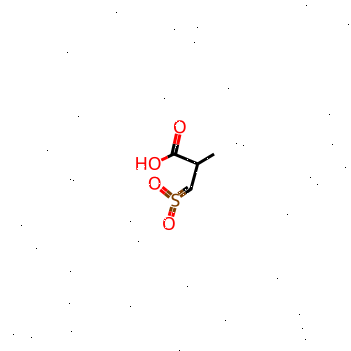 CC(C=S(=O)=O)C(=O)O